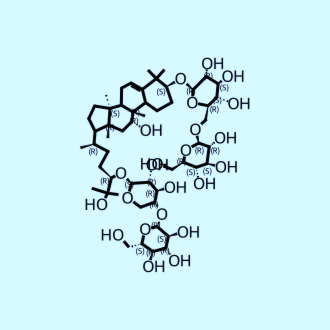 C[C@H](CC[C@@H](O[C@@H]1OC[C@@H](O[C@H]2O[C@@H](CO)[C@H](O)[C@@H](O)[C@@H]2O)[C@H](O)[C@H]1O)C(C)(C)O)C1CC[C@@]2(C)C3CC=C4C(CC[C@H](O[C@@H]5O[C@H](CO[C@@H]6O[C@H](CO)[C@@H](O)[C@H](O)[C@H]6O)[C@@H](O)[C@H](O)[C@H]5O)C4(C)C)[C@]3(C)[C@H](O)C[C@]12C